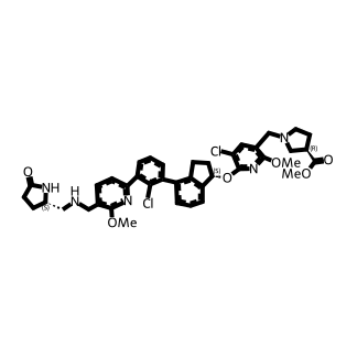 COC(=O)[C@@H]1CCN(Cc2cc(Cl)c(O[C@H]3CCc4c(-c5cccc(-c6ccc(CNC[C@@H]7CCC(=O)N7)c(OC)n6)c5Cl)cccc43)nc2OC)C1